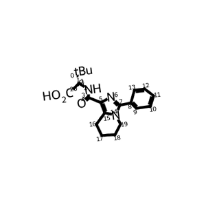 CC(C)(C)[C@H](NC(=O)c1nc(-c2ccccc2)n2c1CCCC2)C(=O)O